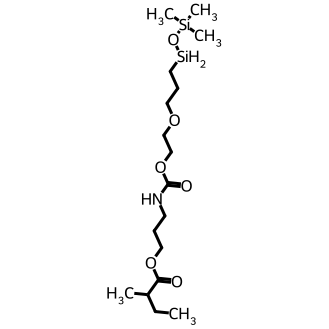 CCC(C)C(=O)OCCCNC(=O)OCCOCCC[SiH2]O[Si](C)(C)C